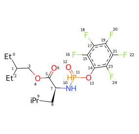 CCC(CC)COC(=O)[C@H](CC(C)C)N[PH](=O)Oc1c(F)c(F)c(F)c(F)c1F